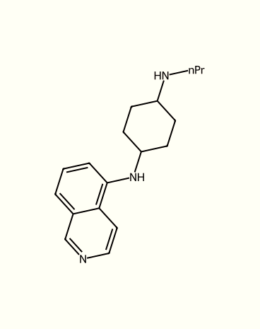 CCCNC1CCC(Nc2cccc3cnccc23)CC1